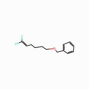 FC(F)=CCCCCOCc1ccccc1